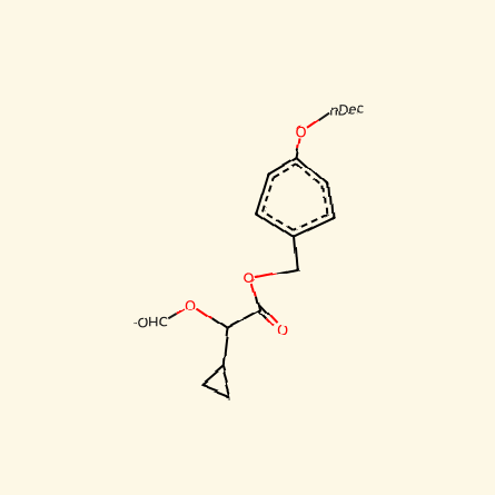 CCCCCCCCCCOc1ccc(COC(=O)C(O[C]=O)C2CC2)cc1